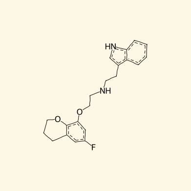 Fc1cc2c(c(OCCNCCc3c[nH]c4ccccc34)c1)OCCC2